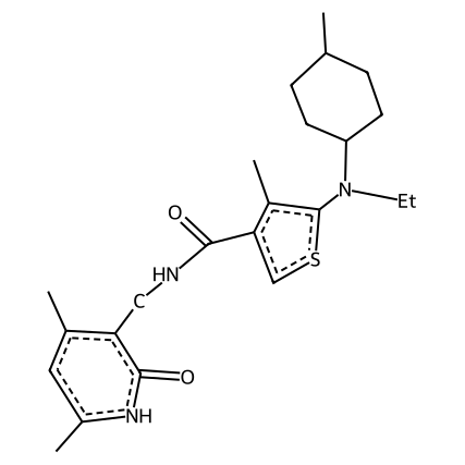 CCN(c1scc(C(=O)NCc2c(C)cc(C)[nH]c2=O)c1C)C1CCC(C)CC1